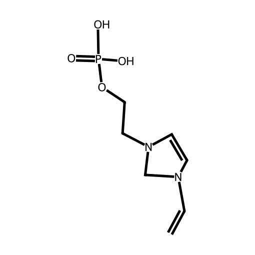 C=CN1C=CN(CCOP(=O)(O)O)C1